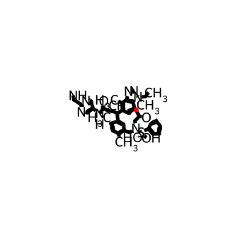 CCC1CN(Cc2cc(C(c3ccc4c(nnn4CC)c3C)C(C)(C)C(=O)Nc3cnc(CN)nc3)ccc2C)S(O)(O)c2ccccc2O1